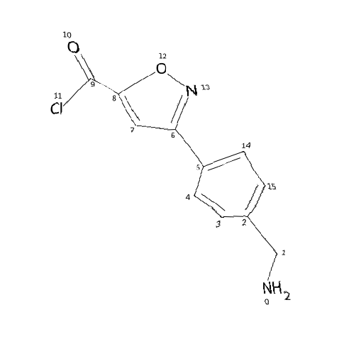 NCc1ccc(-c2cc(C(=O)Cl)on2)cc1